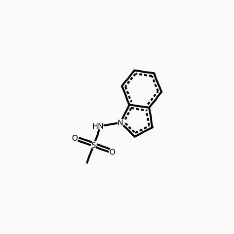 CS(=O)(=O)Nn1ccc2ccccc21